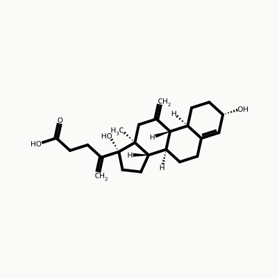 C=C1C[C@@]2(C)[C@@H](CC[C@@]2(O)C(=C)CCC(=O)O)[C@@H]2CCC3=C[C@@H](O)CC[C@@H]3[C@@H]12